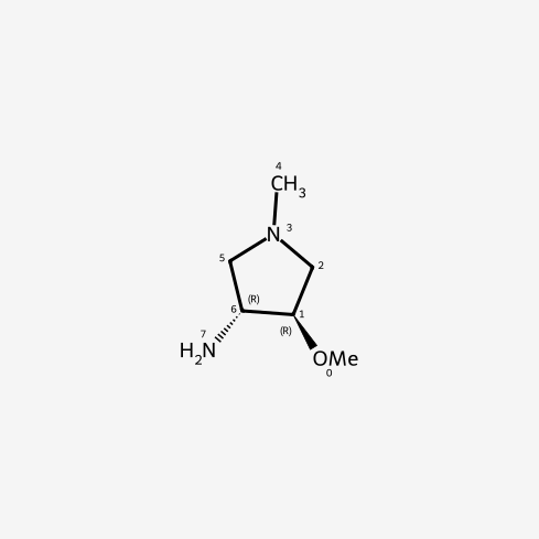 CO[C@@H]1CN(C)C[C@H]1N